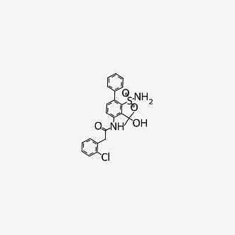 CC(C)(O)c1c(NC(=O)Cc2ccccc2Cl)ccc(-c2ccccc2)c1S(N)(=O)=O